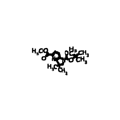 COC(=O)c1ccc2c(n1)C(C)(C)CN2C(=O)OC(C)(C)C